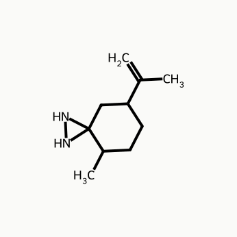 C=C(C)C1CCC(C)C2(C1)NN2